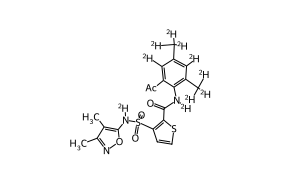 [2H]c1c(C(C)=O)c(N([2H])C(=O)c2sccc2S(=O)(=O)N([2H])c2onc(C)c2C)c(C([2H])([2H])[2H])c([2H])c1C([2H])([2H])[2H]